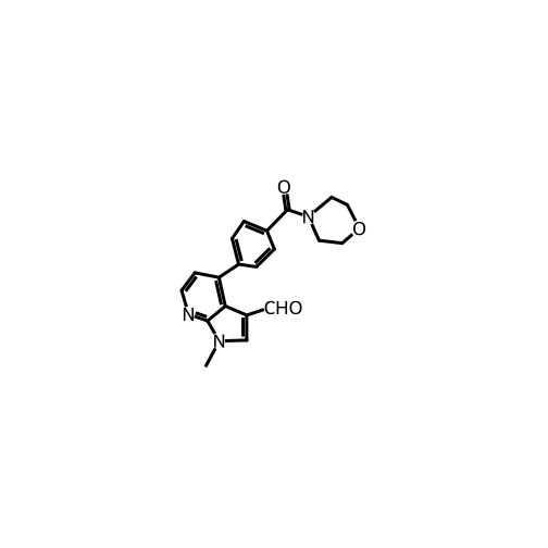 Cn1cc(C=O)c2c(-c3ccc(C(=O)N4CCOCC4)cc3)ccnc21